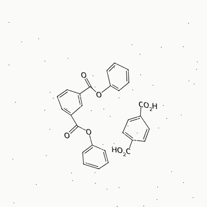 O=C(O)c1ccc(C(=O)O)cc1.O=C(Oc1ccccc1)c1cccc(C(=O)Oc2ccccc2)c1